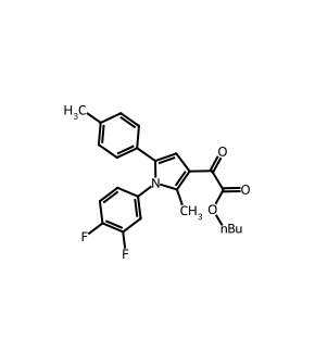 CCCCOC(=O)C(=O)c1cc(-c2ccc(C)cc2)n(-c2ccc(F)c(F)c2)c1C